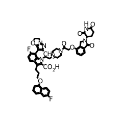 Cc1nn2c(c1-c1c(F)ccc3c(CCCOc4cccc5cc(F)ccc45)c(C(=O)O)n(CCN4CCN(C(=O)COc5cccc6c5CN(C5CCC(=O)NC5=O)C6=O)CC4)c13)OCC2